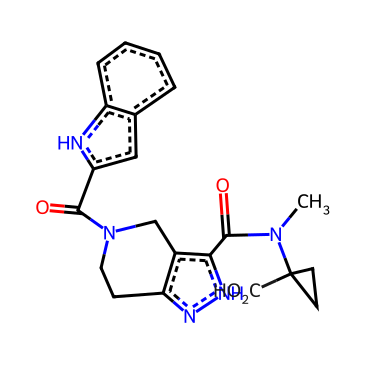 CN(C(=O)c1[nH]nc2c1CN(C(=O)c1cc3ccccc3[nH]1)CC2)C1(C(=O)O)CC1